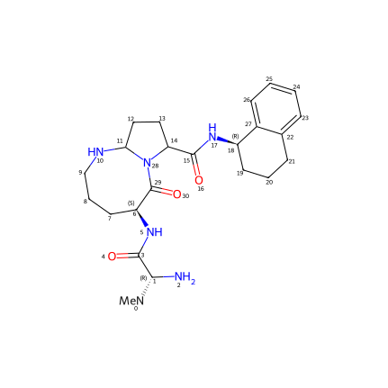 CN[C@@H](N)C(=O)N[C@H]1CCCNC2CCC(C(=O)N[C@@H]3CCCc4ccccc43)N2C1=O